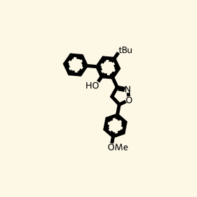 COc1ccc(C2CC(c3cc(C(C)(C)C)cc(-c4ccccc4)c3O)=NO2)cc1